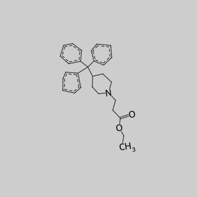 CCOC(=O)CCN1CCC(C(c2ccccc2)(c2ccccc2)c2ccccc2)CC1